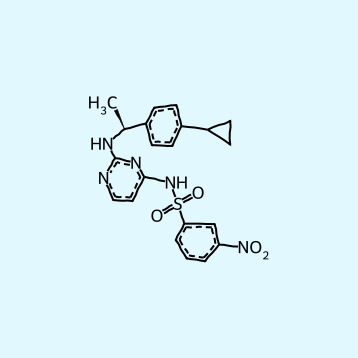 C[C@H](Nc1nccc(NS(=O)(=O)c2cccc([N+](=O)[O-])c2)n1)c1ccc(C2CC2)cc1